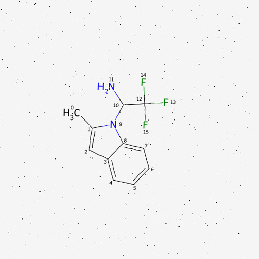 Cc1cc2ccccc2n1C(N)C(F)(F)F